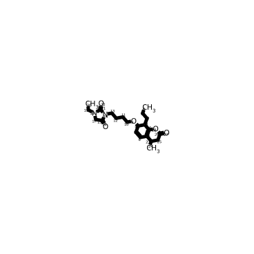 CCCC1C2=C(C=CC1OCCCCN1C(=O)CN(CC)C1=O)C(C)CC(=O)O2